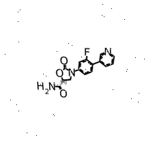 NC(=O)[C@H]1CN(c2ccc(-c3cccnc3)c(F)c2)C(=O)O1